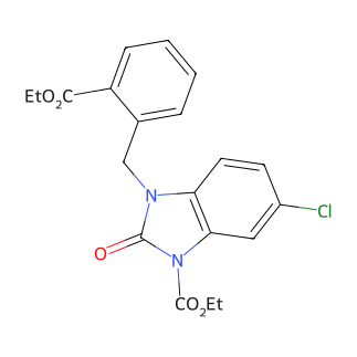 CCOC(=O)c1ccccc1Cn1c(=O)n(C(=O)OCC)c2cc(Cl)ccc21